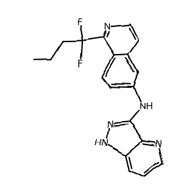 CCCC(F)(F)c1nccc2cc(Nc3n[nH]c4cccnc34)ccc12